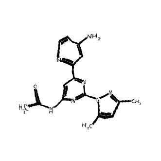 CC(=O)Nc1cc(-c2cc(N)ccn2)nc(-n2nc(C)cc2C)n1